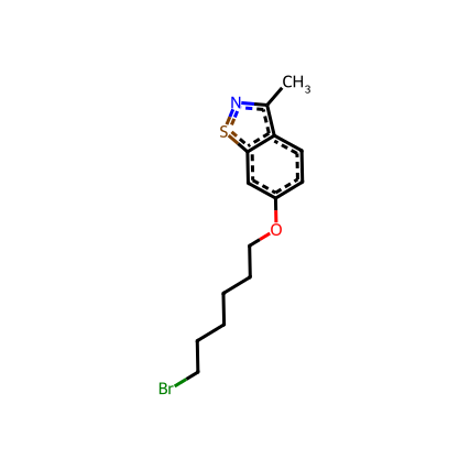 Cc1nsc2cc(OCCCCCCBr)ccc12